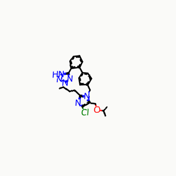 CCCCc1nc(Cl)c(COC(C)C)n1Cc1ccc(-c2ccccc2-c2nnn[nH]2)cc1